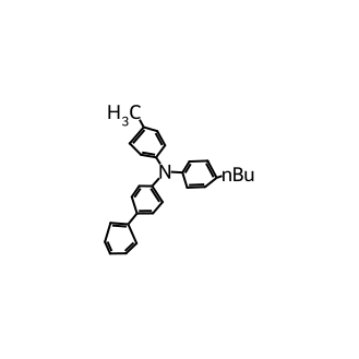 CCCCc1ccc(N(c2ccc(C)cc2)c2ccc(-c3ccccc3)cc2)cc1